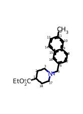 CCOC(=O)C1CCN(Cc2ccc3cc(C)ccc3c2)CC1